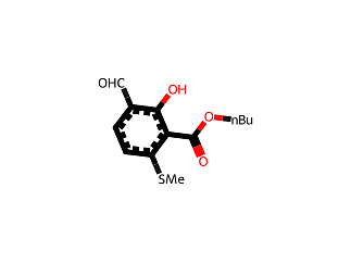 CCCCOC(=O)c1c(SC)ccc(C=O)c1O